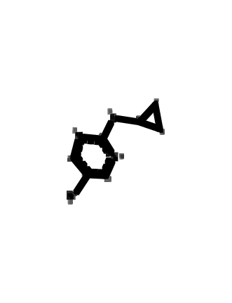 Brc1cnc(SC2CC2)nc1